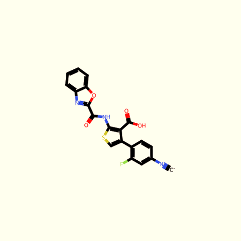 [C-]#[N+]c1ccc(-c2csc(NC(=O)c3nc4ccccc4o3)c2C(=O)O)c(F)c1